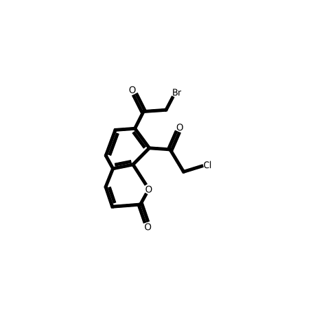 O=C(CBr)c1ccc2ccc(=O)oc2c1C(=O)CCl